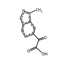 Cn1ncc2ccc(C(=O)C(=O)O)cc21